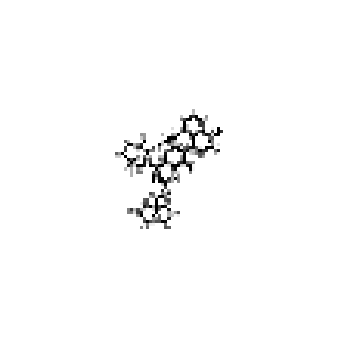 CC#Cc1cccc2c(F)c(C)cc(-c3c(F)cc4c(N5C[C@H]6CC[C@@](C)(C6)C5)nc(OCC56CCCN5C[C@H](F)C6)nc4c3F)c12